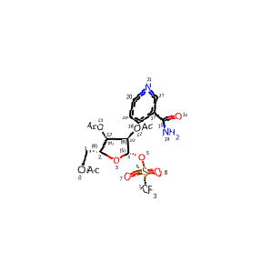 CC(=O)OC[C@H]1O[C@@H](OS(=O)(=O)C(F)(F)F)[C@H](OC(C)=O)[C@@H]1OC(C)=O.NC(=O)c1cccnc1